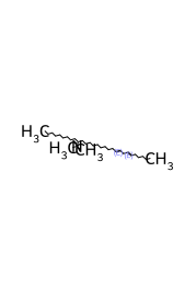 CCCCC/C=C/C/C=C/CCCCCCCCCC(CCCCCCCCC)N(C)C